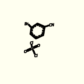 N#Cc1cccc(Br)c1.O=S(=O)(Cl)Cl